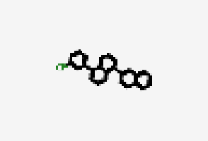 Clc1cccc(-c2cccc3c(-c4ccc5ccccc5c4)cccc23)c1